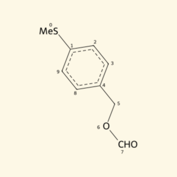 CSc1ccc(COC=O)cc1